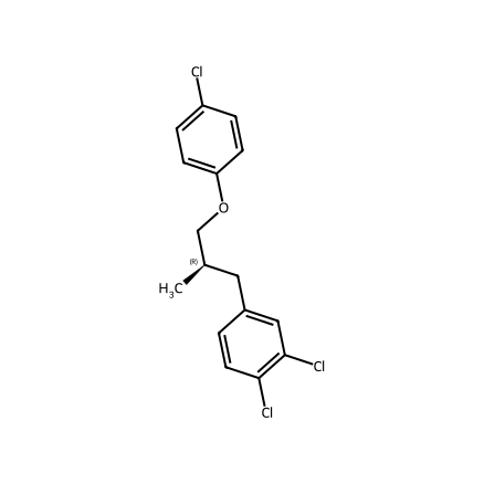 C[C@@H](COc1ccc(Cl)cc1)Cc1ccc(Cl)c(Cl)c1